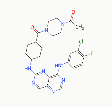 CC(=O)N1CCN(C(=O)C2CCC(Nc3ncc4ncnc(Nc5ccc(F)c(Cl)c5)c4n3)CC2)CC1